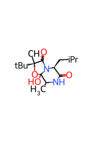 CC(C)C[C@H]1C(=O)N[C@@H](C)[C@]2(O)O[C@@](C)(C(C)(C)C)C(=O)N12